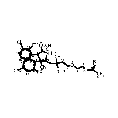 CC(C)(CCOCCOC(=O)C(F)(F)F)CC1NC(C(=O)O)C(c2cccc(Cl)c2F)C1(C#N)c1ccc(Cl)cc1F